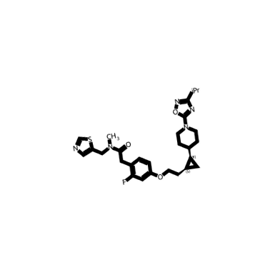 CC(C)c1noc(N2CCC([C@H]3C[C@H]3CCOc3ccc(CC(=O)N(C)Cc4cncs4)c(F)c3)CC2)n1